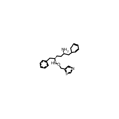 N[C@H](CC[C@H](Cc1ccccc1)NOCc1cncs1)CC1C=CC=CC1